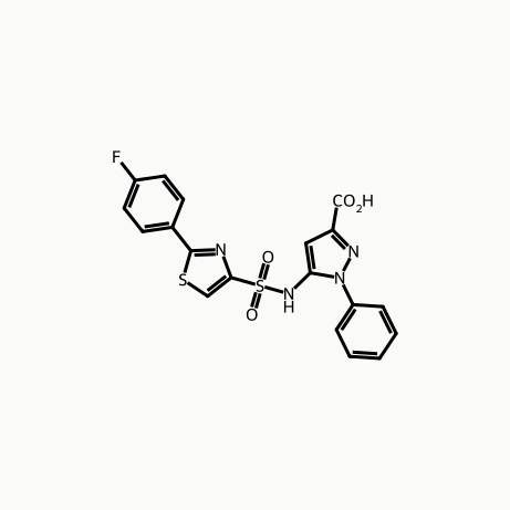 O=C(O)c1cc(NS(=O)(=O)c2csc(-c3ccc(F)cc3)n2)n(-c2ccccc2)n1